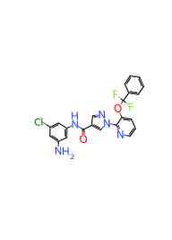 Nc1cc(Cl)cc(NC(=O)c2cnn(-c3ncccc3OC(F)(F)c3ccccc3)c2)c1